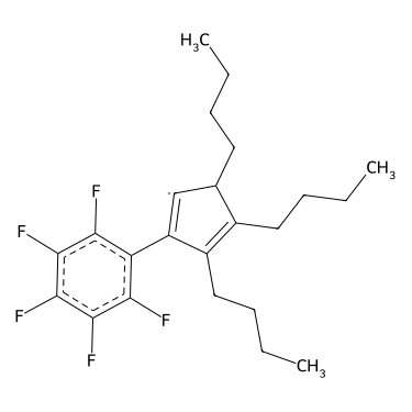 CCCCC1=C(CCCC)C(CCCC)[C]=C1c1c(F)c(F)c(F)c(F)c1F